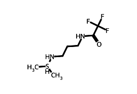 C[SH](C)NCCCNC(=O)C(F)(F)F